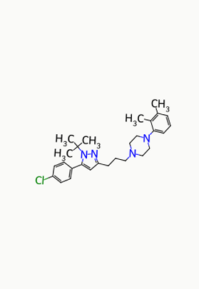 Cc1cccc(N2CCN(CCCc3cc(-c4ccc(Cl)cc4)n(C(C)(C)C)n3)CC2)c1C